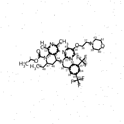 CCOC(=O)N1c2c(cc(C)nc2C)C(N(Cc2cc(C(F)(F)F)cc(C(F)(F)F)c2)c2ncc(OCCN3CCOCC3)cn2)CC1CC